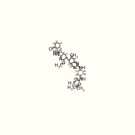 COc1nc(NS(=O)(=O)c2ccccc2Cl)ccc1-c1cc2cnc(NC3CCC(NC(=O)OC(C)(C)C)CC3)nc2cc1C